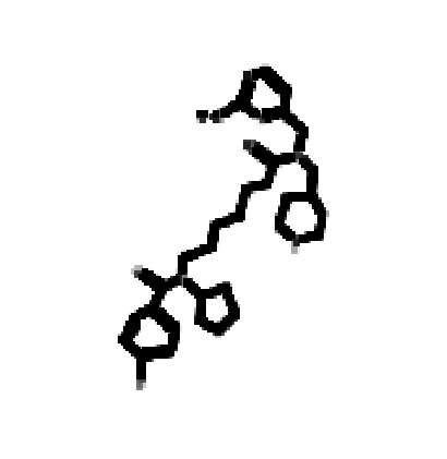 CNc1nccc(CN(CC2CCNCC2)C(=O)CCCCCCN(C(=O)c2ccc(F)cc2)C2CCCC2)n1